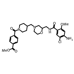 COC(=O)c1ccc(C(=O)N2CCC(CN3CCOC(CNC(=O)c4cc(Cl)c(N)cc4OC)C3)CC2)cc1